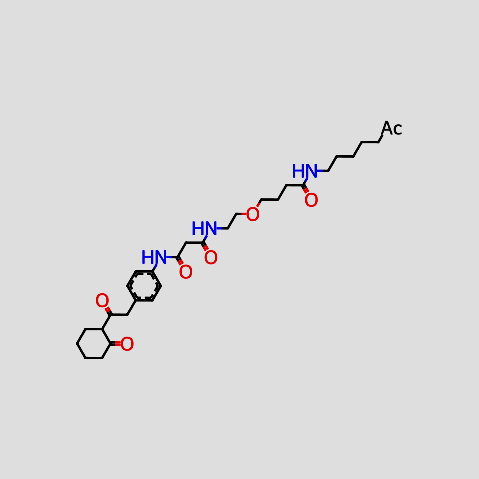 CC(=O)CCCCCNC(=O)CCCOCCNC(=O)CC(=O)Nc1ccc(CC(=O)C2CCCCC2=O)cc1